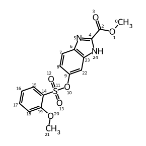 COC(=O)c1nc2ccc(OS(=O)(=O)c3ccccc3OC)cc2[nH]1